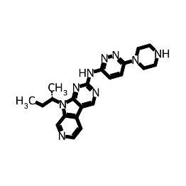 CC[C@H](C)n1c2cnccc2c2cnc(Nc3ccc(N4CCNCC4)nn3)nc21